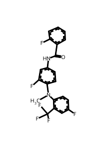 CN(c1ccc(NC(=O)c2ccccc2F)cc1F)c1ccc(F)cc1C(F)(F)F